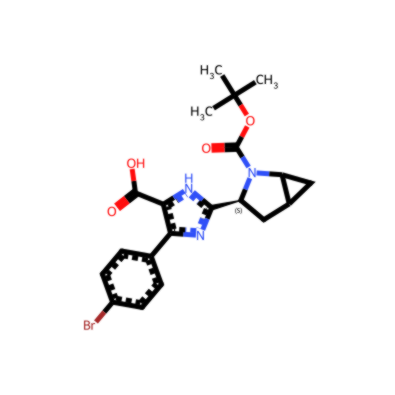 CC(C)(C)OC(=O)N1C2CC2C[C@H]1c1nc(-c2ccc(Br)cc2)c(C(=O)O)[nH]1